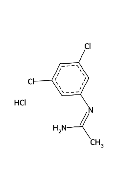 CC(N)=Nc1cc(Cl)cc(Cl)c1.Cl